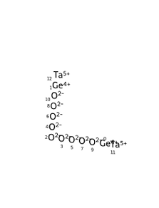 [Ge+4].[Ge+4].[O-2].[O-2].[O-2].[O-2].[O-2].[O-2].[O-2].[O-2].[O-2].[Ta+5].[Ta+5]